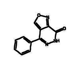 O=c1[nH]nc(-c2ccccc2)c2conc12